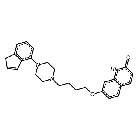 O=c1ccc2ccc(OCCCCN3CCN(c4cccc5c4C=CC5)CC3)cc2[nH]1